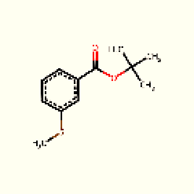 CSc1[c]ccc(C(=O)OC(C)(C)C)c1